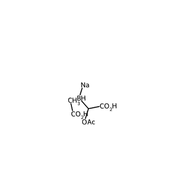 CC(=O)O.CC(=O)OC([BH][Na])C(=O)O